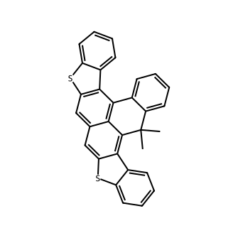 CC1(C)c2ccccc2-c2c3c1c1c(cc3cc3sc4ccccc4c23)sc2ccccc21